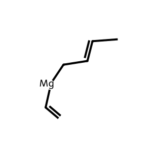 C=[CH][Mg][CH2]C=CC